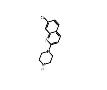 Clc1ccc2ccc(N3CCNCC3)nc2c1